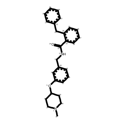 CN1CCC(Oc2cccc(CNC(=O)c3ccccc3Cc3ccccc3)c2)CC1